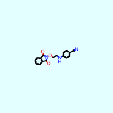 N#Cc1ccc(NCCON2C(=O)c3ccccc3C2=O)cc1